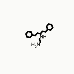 NCCNC(CCC1CCCCC1)CCC1CCCCC1